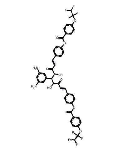 Nc1cc(N)cc(C(C(O)C(=O)/C=C/c2ccc(OC(=O)c3ccc(OC(F)(F)C(F)F)cc3)cc2)C(O)C(=O)/C=C/c2ccc(OC(=O)c3ccc(OC(F)(F)C(F)F)cc3)cc2)c1